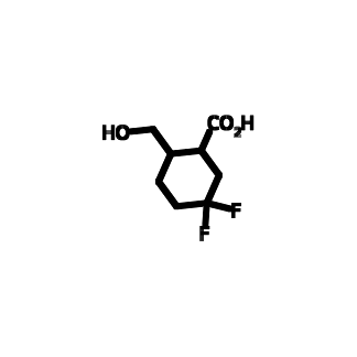 O=C(O)C1CC(F)(F)CCC1CO